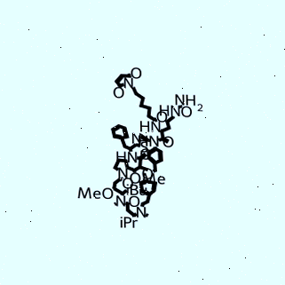 CCC(C)C(C(CC(=O)N1CCCC1C(OC)C(C)C(=O)NC(Cc1ccccc1)c1nccs1)OC)N(C)C(=O)CC(C(C)C)N(C)CCc1ccc(OCc2ccc(NC(=O)C(CCCNC(N)=O)NC(=O)CCCCCCN3C(=O)C=CC3=O)cc2)cc1